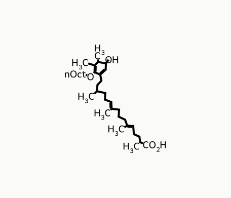 CCCCCCCCOC1=C(C)C(C)C(O)C=C1CCC(C)CC/C=C(\C)CCC/C(C)=C/CCC(C)C(=O)O